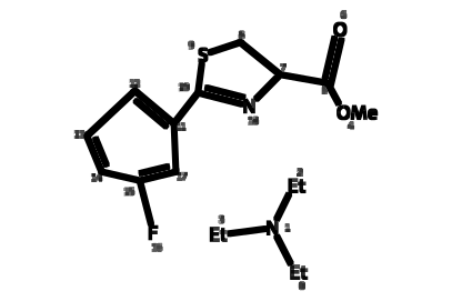 CCN(CC)CC.COC(=O)C1CSC(c2cccc(F)c2)=N1